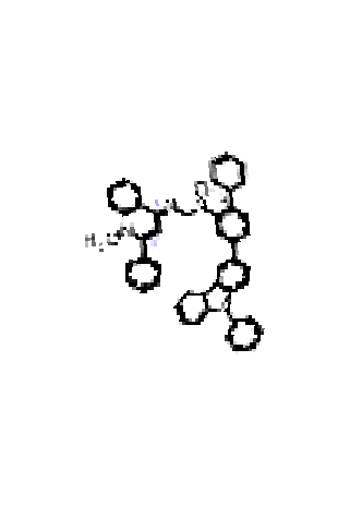 C=N/C(=C\C(=N/CN(C)c1cc(-c2ccc3c(c2)C2CC=CC=C2N3c2ccccc2)ccc1C1C=CC=CC1)c1ccccc1)c1ccccc1